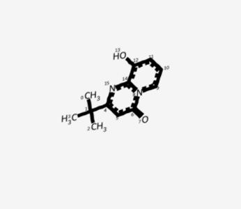 CC(C)(C)c1cc(=O)n2cccc(O)c2n1